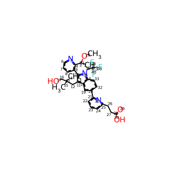 CO[C@@H](C)c1ncccc1-c1c(CC(C)(C)CO)c2cc(-c3cccc(CCC(=O)O)n3)ccc2n1CC(F)(F)F